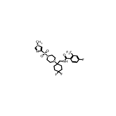 Cn1cnc(S(=O)(=O)N2CCN(C3(CNC(=O)c4ccc(F)cc4C(F)(F)F)CCC(F)(F)CC3)CC2)c1